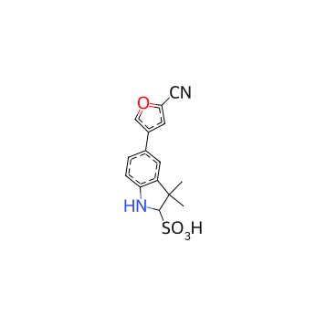 CC1(C)c2cc(-c3coc(C#N)c3)ccc2NC1S(=O)(=O)O